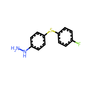 NNc1ccc(Sc2ccc(F)cc2)cc1